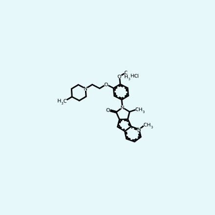 COc1ccc(N2C(=O)c3cc4cccn(C)c-4c3C2C)cc1OCCN1CCC(C)CC1.Cl